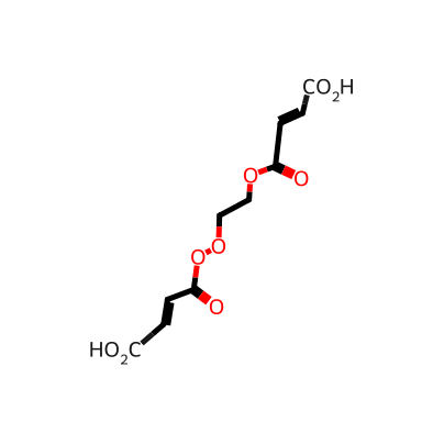 O=C(O)/C=C/C(=O)OCCOOC(=O)/C=C/C(=O)O